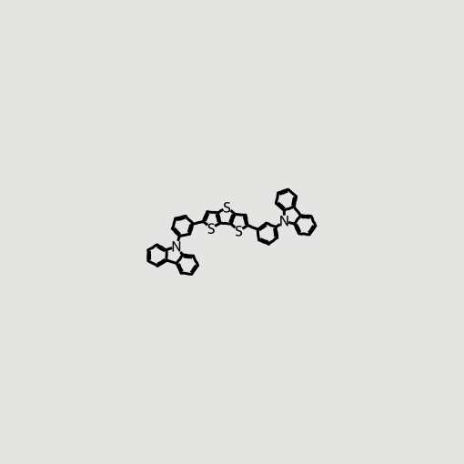 c1cc(-c2cc3sc4cc(-c5cccc(-n6c7ccccc7c7ccccc76)c5)sc4c3s2)cc(-n2c3ccccc3c3ccccc32)c1